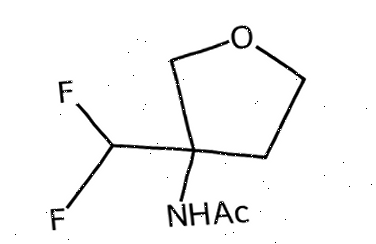 CC(=O)NC1(C(F)F)CCOC1